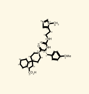 COc1ccc(C[C@@H](NC(=S)NCCc2cncn2C)C(=O)N2CCC(CCC(=O)O)(C3CCCCC3)CC2)cc1